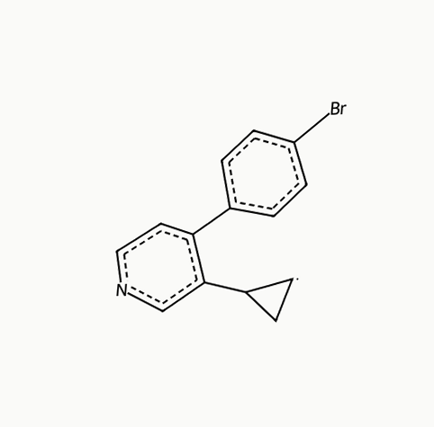 Brc1ccc(-c2ccncc2C2[CH]C2)cc1